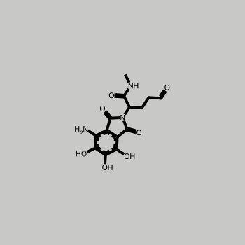 CNC(=O)C(CCC=O)N1C(=O)c2c(N)c(O)c(O)c(O)c2C1=O